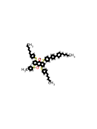 CCCCCCc1ccc(Sc2ccc(Sc3ccc(C)cc3)c3c2C(=O)c2c(Sc4ccc(-c5ccc(C6CCC(CCCCC)CC6)cc5)cc4)ccc(Sc4ccc(CCCCCC)cc4)c2C3=O)cc1